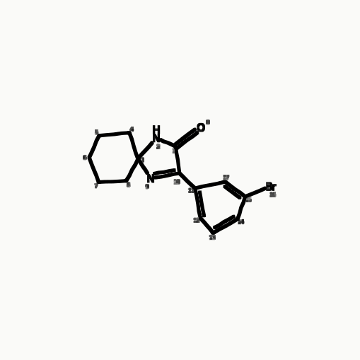 O=C1NC2(CCCCC2)N=C1c1cccc(Br)c1